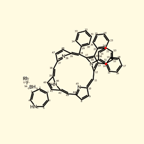 B.C1=CC=CNC=C1.C1=Cc2cc3c(-c4ccccc4)c(-c4ccccc4)c(c(-c4ccccc4)c4nc(cc5ccc(cc1n2)[nH]5)C=C4)n3-c1ccccc1.[F].[Rh]